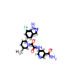 C[C@H]1CC[C@H](c2cc(F)c3[nH]ncc3c2)N(C(=O)C(=O)Nc2cncc(C(N)=O)c2)C1